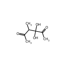 CC(=O)C(C)C(O)(O)C(C)=O